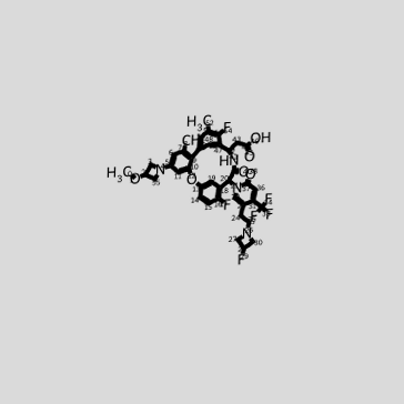 COC1CN(c2cc(C)c3c(c2)Oc2ccc(F)c(c2)C(n2cc(CCN4CC(F)C4)c(C(F)(F)F)cc2=O)C(=O)NC(CC(=O)O)c2cc-3cc(C)c2F)C1